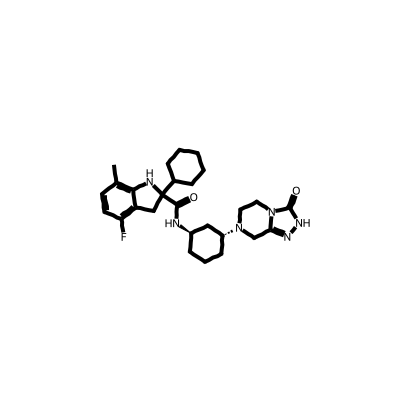 Cc1ccc(F)c2c1NC(C(=O)N[C@@H]1CCC[C@@H](N3CCn4c(n[nH]c4=O)C3)C1)(C1CCCCC1)C2